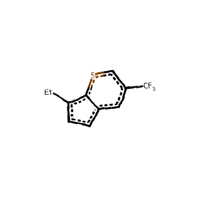 CCc1ccc2cc(C(F)(F)F)csc1-2